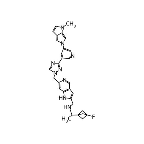 CC(NCc1cc2cnc(Cn3cnc(-c4cncc(-n5cc6ccn(C)c6c5)c4)n3)cc2[nH]1)C12CC(F)(C1)C2